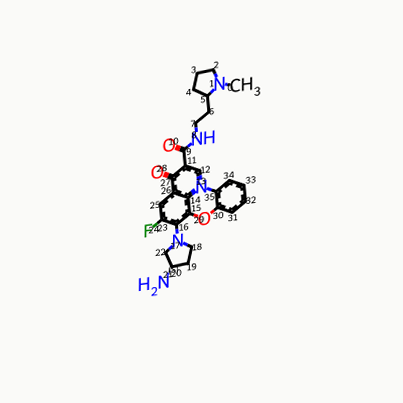 CN1CCCC1CCNC(=O)c1cn2c3c(c(N4CC[C@H](N)C4)c(F)cc3c1=O)Oc1ccccc1-2